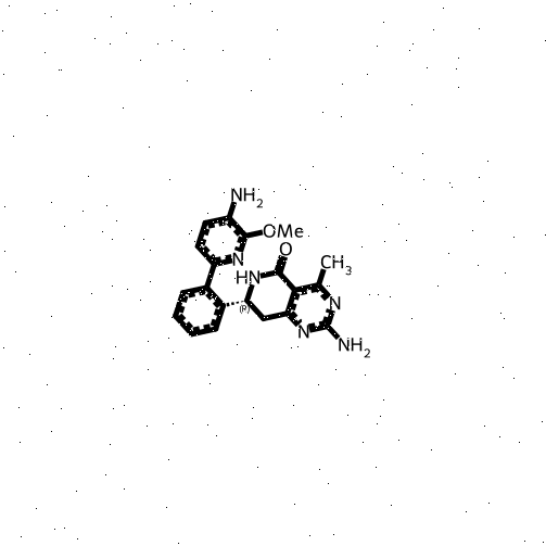 COc1nc(-c2ccccc2[C@H]2Cc3nc(N)nc(C)c3C(=O)N2)ccc1N